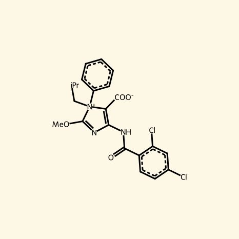 COC1=NC(NC(=O)c2ccc(Cl)cc2Cl)=C(C(=O)[O-])[N+]1(CC(C)C)c1ccccc1